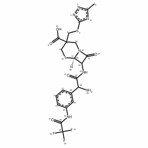 Cc1nnc(SCC2(C(=O)O)CS[C@@H]3C(NC(=O)C(N)c4cccc(NC(=O)C(F)(F)F)c4)C(=O)N3C2)s1